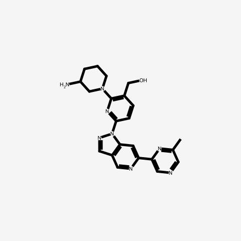 Cc1cncc(-c2cc3c(cn2)cnn3-c2ccc(CO)c(N3CCCC(N)C3)n2)n1